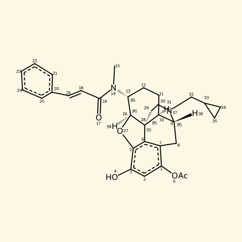 CC(=O)Oc1cc(O)c2c3c1C[C@@H]1[C@@H]4CC[C@@H](N(C)C(=O)C=Cc5ccccc5)[C@H](O2)[C@]34CCN1CC1CC1